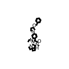 CCn1nc(C(=O)N(C)[C@@H]2CN3CCC34CC[C@H]24)c2ccc(N3CCC(OCc4ccccc4)C3)cc21